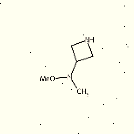 CON(C)C1CNC1